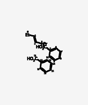 CCC=CCCC.O=C(O)c1ccccc1.O=C(O)c1ccccc1